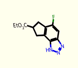 CCOC(=O)C1Cc2c(F)cc3nn[nH]c3c2C1